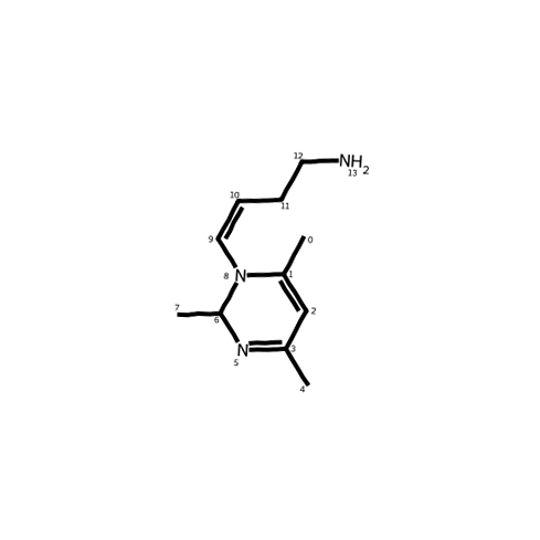 CC1=CC(C)=NC(C)N1/C=C\CCN